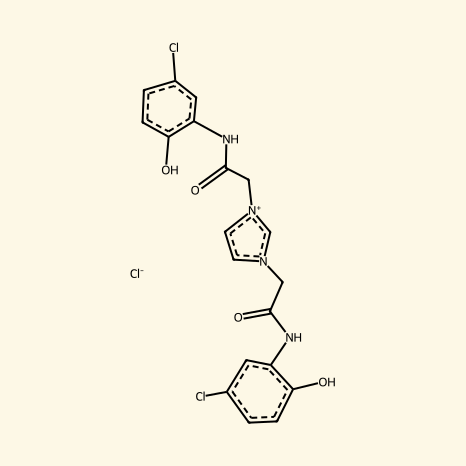 O=C(Cn1cc[n+](CC(=O)Nc2cc(Cl)ccc2O)c1)Nc1cc(Cl)ccc1O.[Cl-]